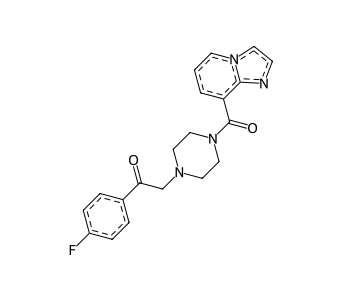 O=C(CN1CCN(C(=O)c2cccn3ccnc23)CC1)c1ccc(F)cc1